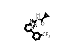 O=C(Nc1nc2cccc(-c3cccc(C(F)(F)F)c3)n2n1)C1CC1